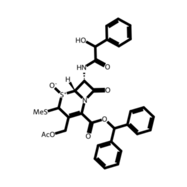 CSC1C(COC(C)=O)=C(C(=O)OC(c2ccccc2)c2ccccc2)N2C(=O)[C@@H](NC(=O)C(O)c3ccccc3)[C@H]2[S+]1[O-]